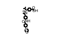 CC(C)N(c1ccc(C(=O)O)cc1)c1nc(-c2ccc(NC(=O)c3ccc(N4CCOCC4)cc3)cc2)cs1